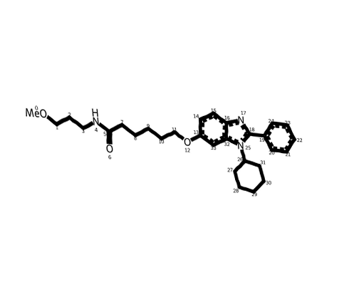 COCCCNC(=O)CCCCCOc1ccc2nc(-c3ccccc3)n(C3CCCCC3)c2c1